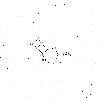 CC(N)CC1C2CCC2N1C